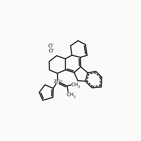 C[C](C)=[Zr+2]([C]1=CC=CC1)[CH]1CCCC2C1=C1Cc3ccccc3C1=C1C=CCCC12.[Cl-].[Cl-]